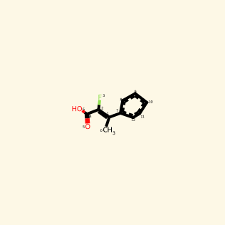 C/C(=C(/F)C(=O)O)c1ccccc1